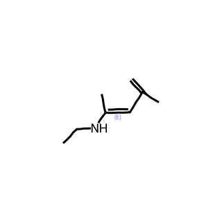 C=C(C)/C=C(\C)NCC